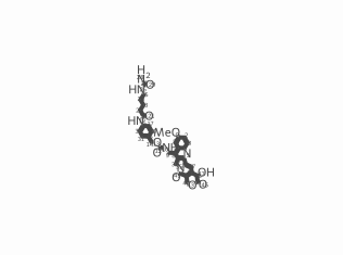 COc1ccc2nc3c(c(CNC(=O)OCc4ccc(NC(=O)CCCCNC(N)=O)cc4)c2c1)Cn1c-3cc2c(c1=O)COC(=O)[C@H]2O